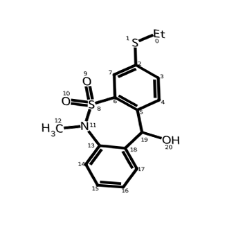 CCSc1ccc2c(c1)S(=O)(=O)N(C)c1ccccc1C2O